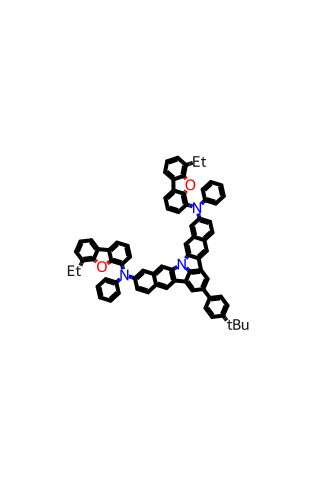 CCc1cccc2c1oc1c(N(c3ccccc3)c3ccc4cc5c6cc(-c7ccc(C(C)(C)C)cc7)cc7c8cc9ccc(N(c%10ccccc%10)c%10cccc%11c%10oc%10c(CC)cccc%10%11)cc9cc8n(c5cc4c3)c67)cccc12